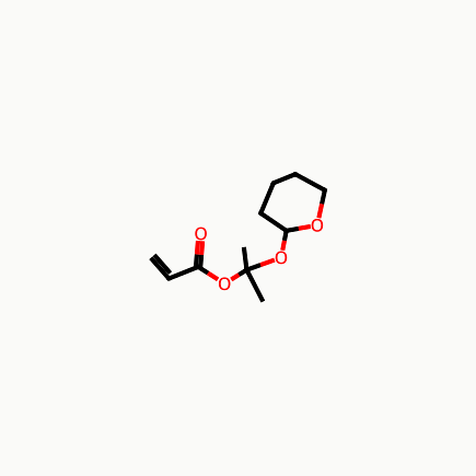 C=CC(=O)OC(C)(C)OC1CCCCO1